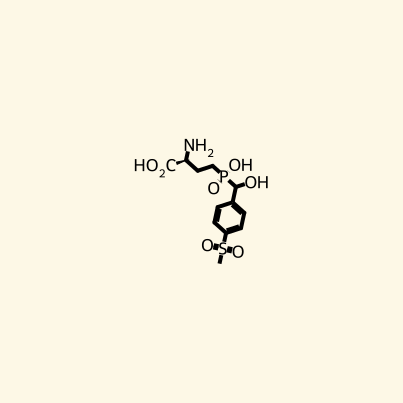 CS(=O)(=O)c1ccc(C(O)P(=O)(O)CC[C@H](N)C(=O)O)cc1